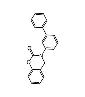 O=C1Oc2ccccc2CN1c1cccc(-c2ccccc2)c1